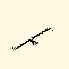 CCCCCCCCCCCCOCCCCCCCCCCCC.O=P([O-])(O)O.[K+]